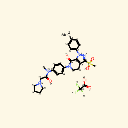 COc1ccc(-n2nc(S(C)(=O)=O)c3c2C(=O)N(c2ccc(N(C)C(=O)CN4CCCC4)cc2)CC3)cc1.O=C(O)C(F)(F)F